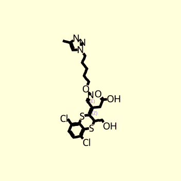 Cc1cn(CCCCCO/N=C/C(CC(=O)O)=C2\Sc3c(Cl)ccc(Cl)c3SC2CO)nn1